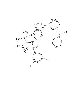 CC(C)(C)C(C(=O)O)N(c1ccc2c(ccn2-c2cc(C(=O)N3CCOCC3)ccn2)c1)S(=O)(=O)c1cc(Cl)cc(Cl)c1